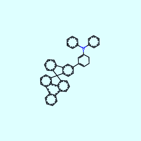 C1=C(c2ccc3c(c2)-c2ccccc2C32c3cccc4c5ccccc5c5cccc2c5c34)C=C(N(c2ccccc2)c2ccccc2)CC1